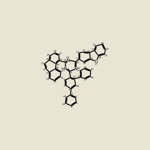 c1ccc(-c2ccc(-c3nc(-c4ccc5c(c4)oc4ccccc45)nc(-c4cccc5ccc6ccccc6c45)n3)c(-c3ccccc3)c2)cc1